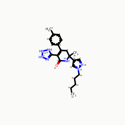 Cc1ccc(C2=C(C3=NNNN3)C(=O)NC(c3cnn(CCCCC(F)(F)F)c3)(C(F)(F)F)C2)cc1